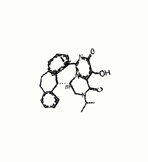 CC(C)N1C[C@H](C2c3ccccc3CCc3ccccc32)n2c([S+](C)[O-])nc(=O)c(O)c2C1=O